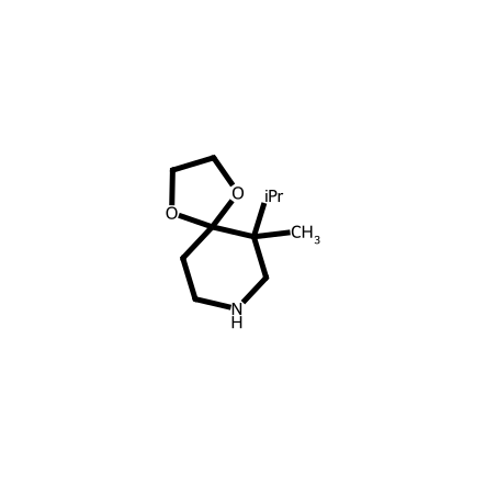 CC(C)C1(C)CNCCC12OCCO2